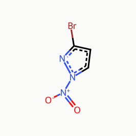 O=[N+]([O-])n1ccc(Br)n1